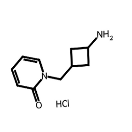 Cl.NC1CC(Cn2ccccc2=O)C1